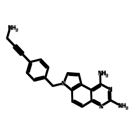 NCC#Cc1ccc(Cn2ccc3c4c(N)nc(N)nc4ccc32)cc1